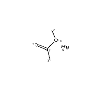 COC(C)=O.[Hg]